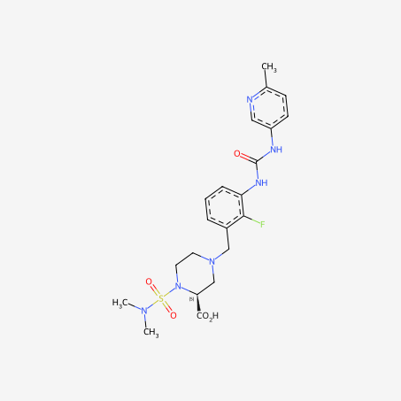 Cc1ccc(NC(=O)Nc2cccc(CN3CCN(S(=O)(=O)N(C)C)[C@H](C(=O)O)C3)c2F)cn1